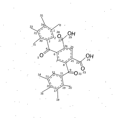 Cc1cc(C(=O)c2cc(C(=O)c3cc(C)c(C)c(C)c3C)c(C(=O)O)cc2C(=O)O)c(C)c(C)c1C